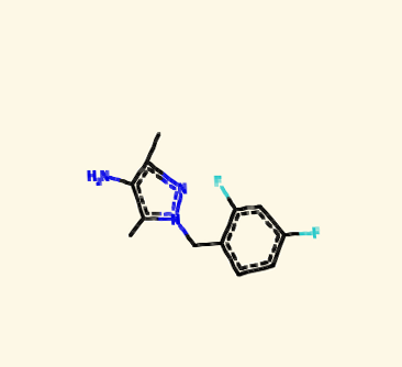 Cc1nn(Cc2ccc(F)cc2F)c(C)c1N